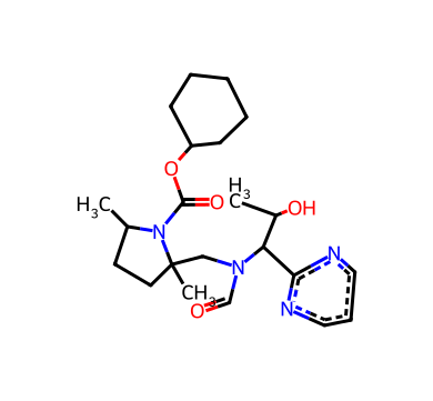 CC(O)C(c1ncccn1)N(C=O)CC1(C)CCC(C)N1C(=O)OC1CCCCC1